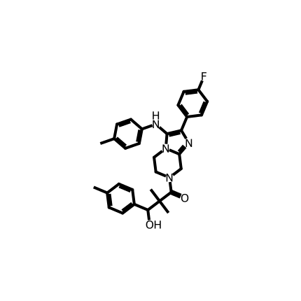 Cc1ccc(Nc2c(-c3ccc(F)cc3)nc3n2CCN(C(=O)C(C)(C)C(O)c2ccc(C)cc2)C3)cc1